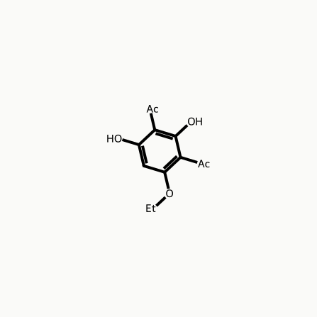 CCOc1cc(O)c(C(C)=O)c(O)c1C(C)=O